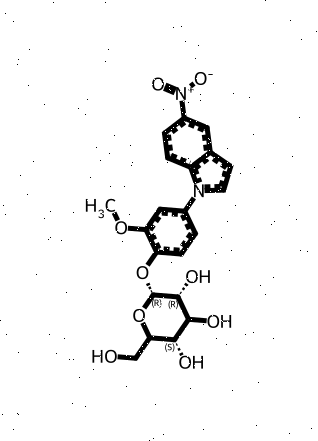 COc1cc(-n2ccc3cc([N+](=O)[O-])ccc32)ccc1O[C@H]1OC(CO)[C@@H](O)C(O)[C@H]1O